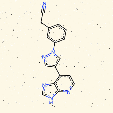 N#CCc1cccc(-n2cc(-c3ccnc4[nH]cnc34)cn2)c1